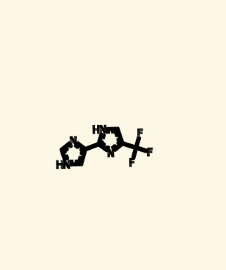 FC(F)(F)c1c[nH]c(-c2c[nH]cn2)n1